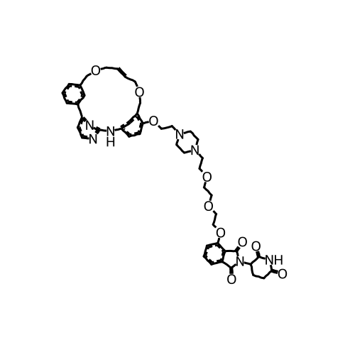 O=C1CCC(N2C(=O)c3cccc(OCCOCCOCCN4CCN(CCOc5ccc6cc5COC/C=C/COCc5cccc(c5)-c5ccnc(n5)N6)CC4)c3C2=O)C(=O)N1